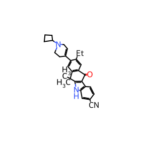 CCc1cc2c(cc1C1=CCN(C3CCC3)CC1)C(C)(C)c1[nH]c3cc(C#N)ccc3c1C2=O